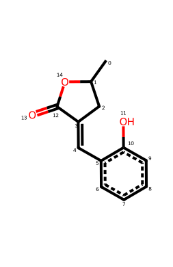 CC1C/C(=C\c2ccccc2O)C(=O)O1